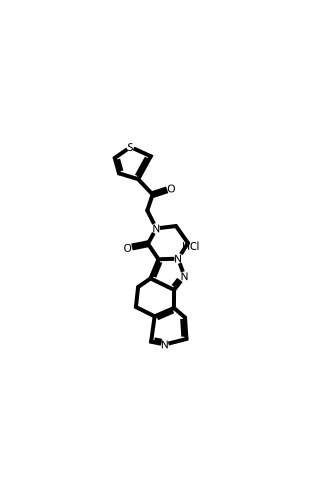 Cl.O=C(CN1CCn2nc3c(c2C1=O)CCc1cnccc1-3)c1ccsc1